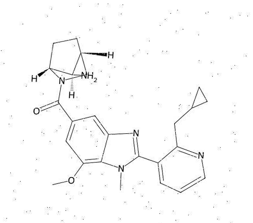 COc1cc(C(=O)N2C[C@H]3CC[C@@H]2[C@@H]3N)cc2nc(-c3cccnc3CC3CC3)n(C)c12